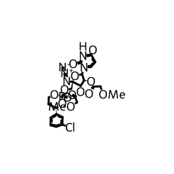 COCC(=O)O[C@H]1C(n2ccc(=O)[nH]c2=O)O[C@@](COP2(=O)OCC[C@@H](c3cccc(Cl)c3)O2)(N=[N+]=[N-])[C@H]1OC(=O)COC